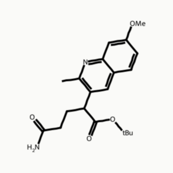 COc1ccc2cc(C(CCC(N)=O)C(=O)OC(C)(C)C)c(C)nc2c1